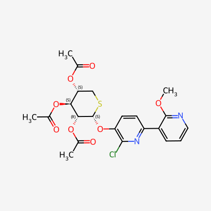 COc1ncccc1-c1ccc(O[C@H]2SC[C@@H](OC(C)=O)[C@H](OC(C)=O)[C@H]2OC(C)=O)c(Cl)n1